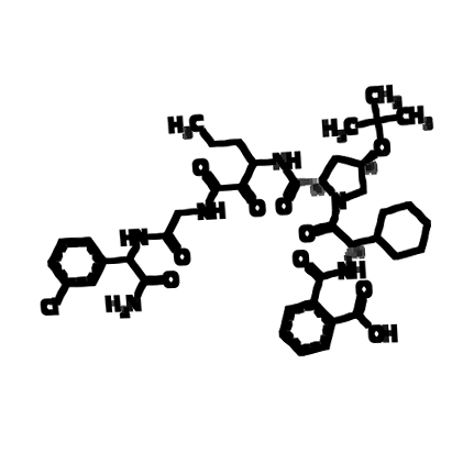 CCCC(NC(=O)[C@@H]1C[C@@H](OC(C)(C)C)CN1C(=O)[C@@H](NC(=O)c1ccccc1C(=O)O)C1CCCCC1)C(=O)C(=O)NCC(=O)NC(C(N)=O)c1cccc(Cl)c1